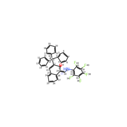 O=C1C([Si](c2ccccc2)(c2ccccc2)c2ccccc2)=Cc2ccccc2/C1=C/Nc1c(F)c(F)c(F)c(F)c1F